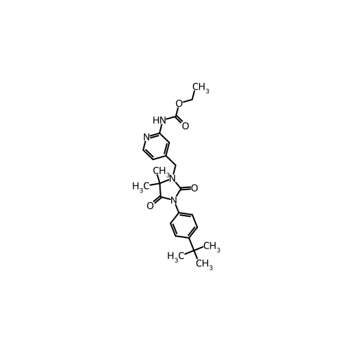 CCOC(=O)Nc1cc(CN2C(=O)N(c3ccc(C(C)(C)C)cc3)C(=O)C2(C)C)ccn1